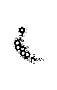 COC(=O)C(=O)N[C@H]1CC[C@]2(C)C3C(=O)C=C4[C@@H]5C[C@@](C)(C(=O)OCc6ccccc6)CC[C@]5(C)CC[C@@]4(C)[C@]3(C)CC[C@H]2C1(C)C